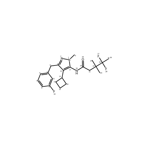 Cn1nc(Cc2cccc(F)c2)c(C2CCC2)c1NC(=O)CC(C)(C)C(F)(F)F